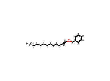 CCCCCCCCCCC#COCc1ccccc1